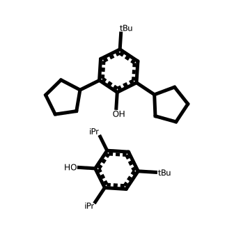 CC(C)(C)c1cc(C2CCCC2)c(O)c(C2CCCC2)c1.CC(C)c1cc(C(C)(C)C)cc(C(C)C)c1O